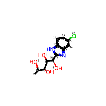 CC(O)C(O)C(O)[C@H](O)c1nc2cc(Cl)ccc2[nH]1